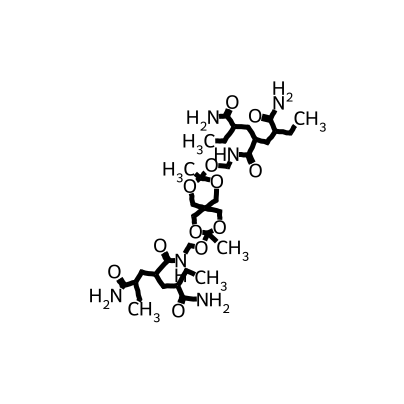 CCC(CC(CC(CC)C(N)=O)C(=O)NCOC1(C)OCC2(CO1)COC(C)(OCNC(=O)C(CC(CC)C(N)=O)CC(CC)C(N)=O)OC2)C(N)=O